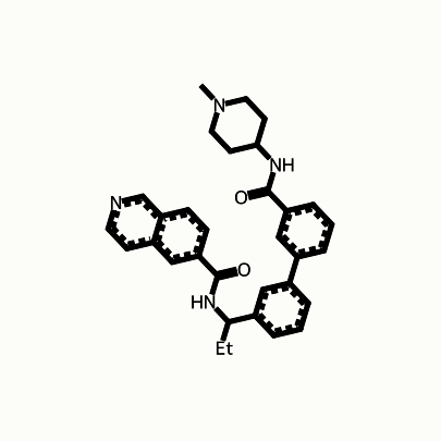 CCC(NC(=O)c1ccc2cnccc2c1)c1cccc(-c2cccc(C(=O)NC3CCN(C)CC3)c2)c1